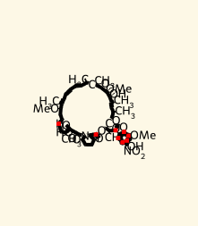 CO[C@H]1C[C@@H]2CC[C@@H](C)[C@@](O)(O2)C(=O)C(=O)N2CCCC[C@H]2C(=O)O[C@H]([C@H](C)C[C@@H]2CC[C@@H](O)[C@H](OC)C2)C[C@@H](OC(=O)Oc2ccc([N+](=O)[O-])cc2)[C@H](C)/C=C(\C)[C@@H](O)[C@@H](OC)C(=O)[C@H](C)C[C@H](C)/C=C/C=C/C=C/1C